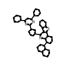 c1ccc(-c2cc(-c3ccccc3)nc(-c3cccc(-c4nc5c(-c6cccc7ccccc67)cccc5c5sc6ccccc6c45)c3)n2)cc1